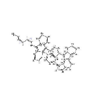 IC/C=C\C=C/CC1=c2ccccc2=C(c2ccc(-n3c4ccccc4c4ccc5ccn(-c6ccccc6)c5c43)cc2)C2C=CC=CC12